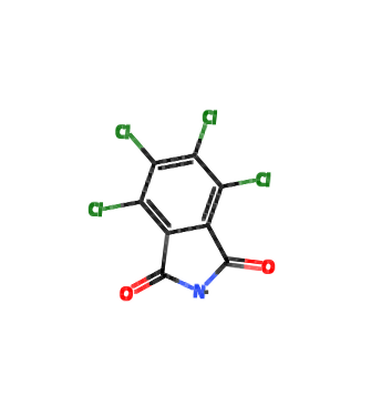 O=C1[N]C(=O)c2c(Cl)c(Cl)c(Cl)c(Cl)c21